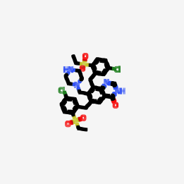 CCS(=O)(=O)c1ccc(Cl)cc1Cc1cc2c(=O)[nH]cnc2c(Cc2cc(Cl)ccc2S(=O)(=O)CC)c1CN1CCNCC1